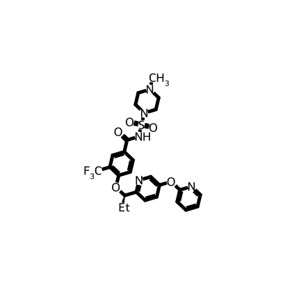 CC[C@@H](Oc1ccc(C(=O)NS(=O)(=O)N2CCN(C)CC2)cc1C(F)(F)F)c1ccc(Oc2ccccn2)cn1